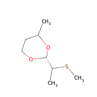 CSC(C)[C@@H]1OCCC(C)O1